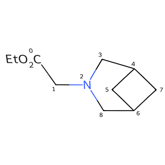 CCOC(=O)CN1CC2CC(C2)C1